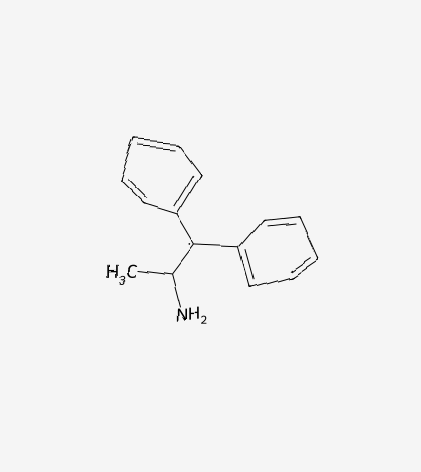 CC(N)[C](c1ccccc1)c1ccccc1